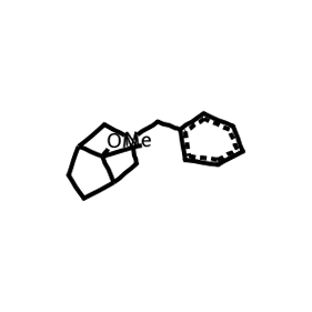 COC1(C)C2CCC1CN(Cc1ccccc1)C2